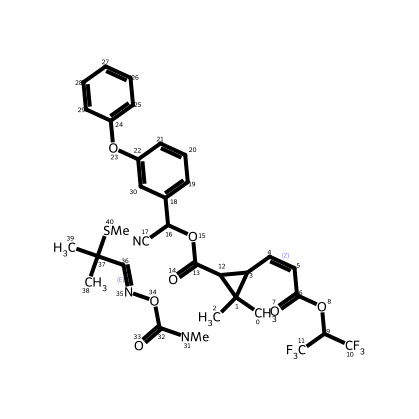 CC1(C)C(/C=C\C(=O)OC(C(F)(F)F)C(F)(F)F)C1C(=O)OC(C#N)c1cccc(Oc2ccccc2)c1.CNC(=O)O/N=C/C(C)(C)SC